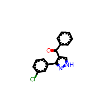 O=C(c1ccccc1)c1c[nH]nc1-c1cccc(Cl)c1